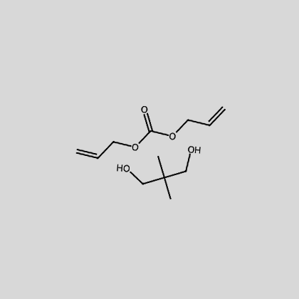 C=CCOC(=O)OCC=C.CC(C)(CO)CO